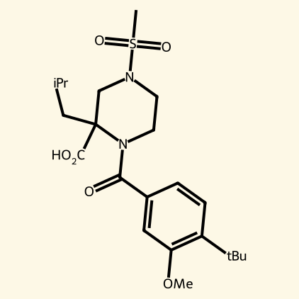 COc1cc(C(=O)N2CCN(S(C)(=O)=O)CC2(CC(C)C)C(=O)O)ccc1C(C)(C)C